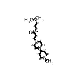 CN(C)CCOC(=O)CCN1CCN(C2CCN(C)CC2)CC1